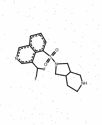 O=S(=O)(c1cccc2cncc(C(F)F)c12)N1CC2CCNCC2C1